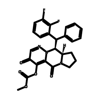 COC(=O)Oc1c2n(ncc1=O)[C@@H](C(c1ccccc1)c1cccc(F)c1F)[C@H]1CCCN1C2=O